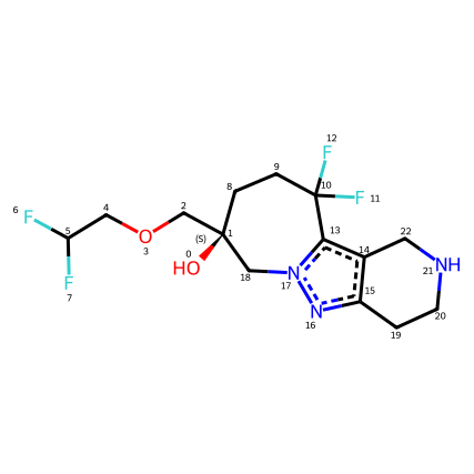 O[C@@]1(COCC(F)F)CCC(F)(F)c2c3c(nn2C1)CCNC3